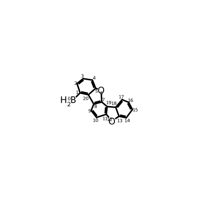 Bc1cccc2oc3c(ccc4oc5ccccc5c43)c12